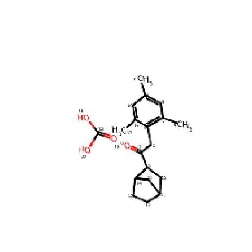 Cc1cc(C)c(CC(=O)C2CC3CCC2C3)c(C)c1.O=C(O)O